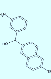 CCc1ccc2cc(C(O)c3cccc(N)c3)ccc2c1